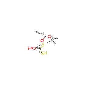 C=CC(=O)OC(C)(C)C.OC(=S)S